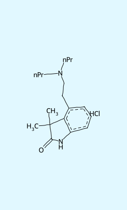 CCCN(CCC)CCc1cccc2c1C(C)(C)C(=O)N2.Cl